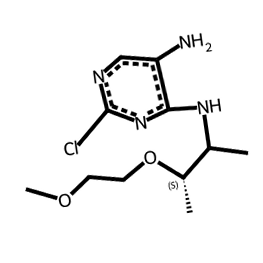 COCCO[C@@H](C)C(C)Nc1nc(Cl)ncc1N